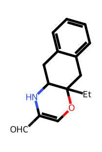 CCC12Cc3ccccc3CC1NC(C=O)=CO2